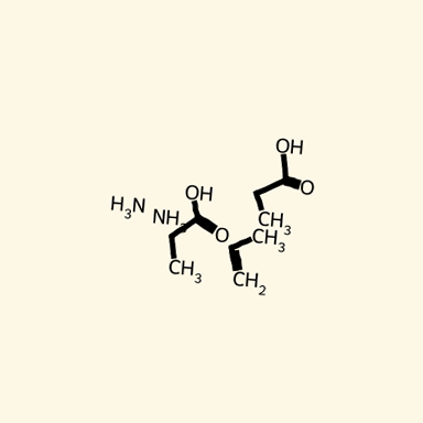 C=CC.CCC(=O)O.CCC(=O)O.N.N